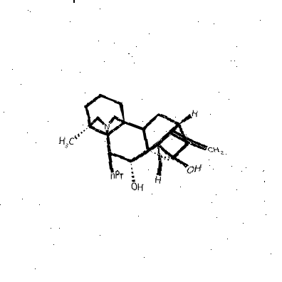 C=C1[C@H]2CC[C@]3(C(C2)[C@@]24CCC[C@@](C)(CN(CCC)C2)C4C[C@H]3O)[C@H]1O